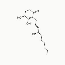 CCCCCCC(O)/C=C/CC1=C(O)[C@@H](O)CCC1=O